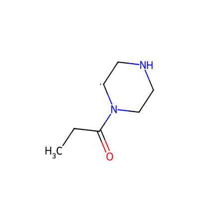 CCC(=O)N1[CH]CNCC1